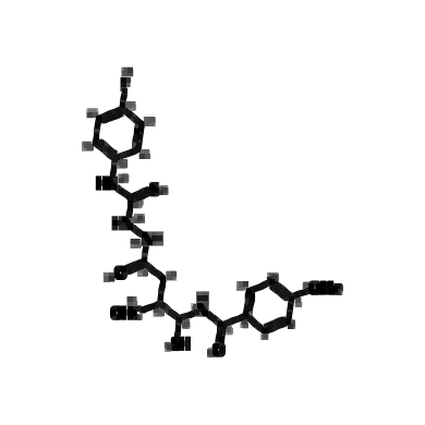 COc1ccc(C(=O)NC(S)C(C=O)CC(=O)NNC(=S)Nc2ccc(F)cc2)cc1